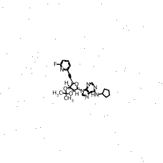 CC1(C)O[C@@H]2[C@H](O1)[C@@H](C#Cc1cccc(F)n1)O[C@H]2n1cnc2c(NC3CCCC3)ncnc21